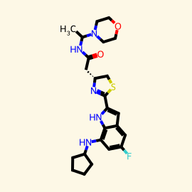 CC(NC(=O)C[C@@H]1CSC(c2cc3cc(F)cc(NC4CCCC4)c3[nH]2)=N1)N1CCOCC1